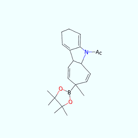 CC(=O)N1C2=CCCC=C2C2C=CC(C)(B3OC(C)(C)C(C)(C)O3)C=CC21